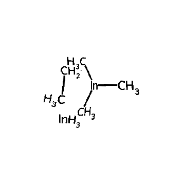 [CH2]C.[CH3][In]([CH3])[CH3].[InH3]